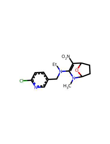 CCN(Cc1ccc(Cl)nc1)C1=C([N+](=O)[O-])C2CCC(O2)N1C